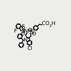 O=C(O)CCc1ccc(S(=O)(=O)CCc2c(CCNS(=O)(=O)Cc3c(F)cccc3F)n(C(c3ccccc3)c3ccccc3)c3cc(Cl)ccc23)cc1